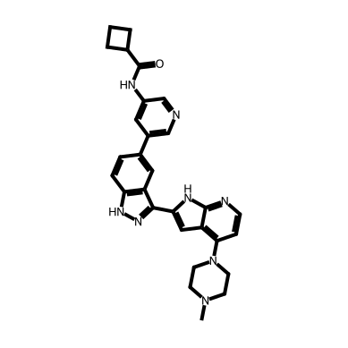 CN1CCN(c2ccnc3[nH]c(-c4n[nH]c5ccc(-c6cncc(NC(=O)C7CCC7)c6)cc45)cc23)CC1